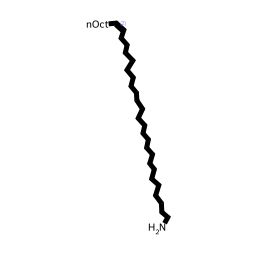 CCCCCCCC/C=C\CCCCCCCCCCCCCCCCCCCCCCCCN